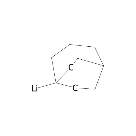 [Li][C]12CCCC(CC1)CC2